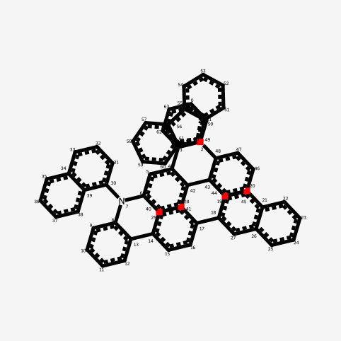 c1ccc(-c2cc(N(c3ccccc3-c3ccc(-c4ccc5ccccc5c4)cc3)c3cccc4ccccc34)ccc2-c2ccccc2-n2c3ccccc3c3ccccc32)cc1